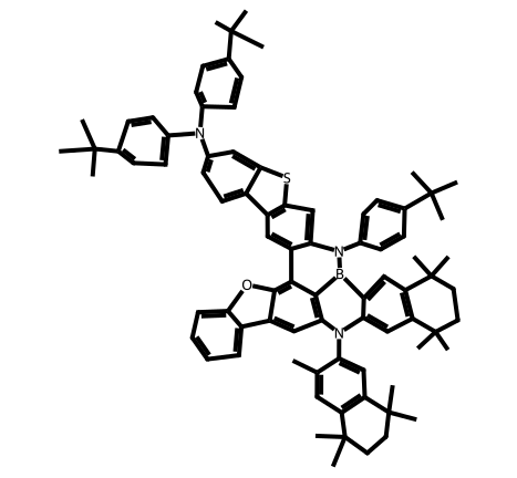 Cc1cc2c(cc1N1c3cc4c(cc3B3c5c1cc1c(oc6ccccc61)c5-c1cc5c(cc1N3c1ccc(C(C)(C)C)cc1)sc1cc(N(c3ccc(C(C)(C)C)cc3)c3ccc(C(C)(C)C)cc3)ccc15)C(C)(C)CCC4(C)C)C(C)(C)CCC2(C)C